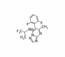 Cc1nc2ncnn2c(NC(C)C(F)(F)F)c1-c1c(F)cccc1F